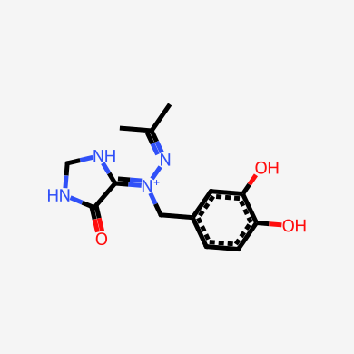 CC(C)=N[N+](Cc1ccc(O)c(O)c1)=C1NCNC1=O